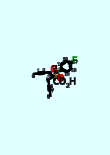 CC#CCC(CC#CC)(C(=O)O)S(=O)(=O)c1ccc(F)cc1